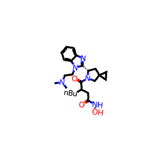 CCCCC(CC(=O)NO)C(=O)N1CC2(CC2)C[C@H]1c1nc2ccccc2n1CCN(C)C